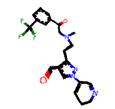 CN(CCc1nn(C2=CCCN=C2)cc1C=O)CC(=O)c1cccc(C(F)(F)F)c1